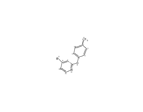 FC(F)(F)c1ccc(Oc2cc(Br)[c]cn2)cc1